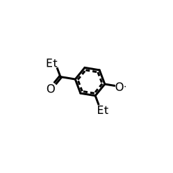 CCC(=O)c1ccc([O])c(CC)c1